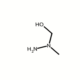 CN(N)CO